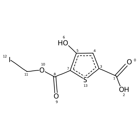 O=C(O)c1cc(O)c(C(=O)OCI)s1